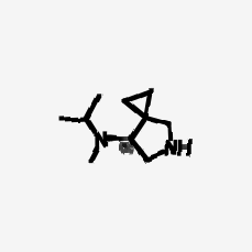 CC(C)N(C)[C@@H]1CNCC12CC2